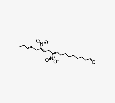 CCC=CCC(=CCC(=CCCCCCCCC=O)[N+](=O)[O-])[N+](=O)[O-]